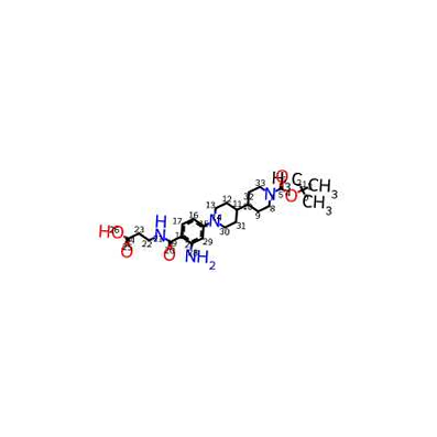 CC(C)(C)OC(=O)N1CCC(C2CCN(c3ccc(C(=O)NCCC(=O)O)c(N)c3)CC2)CC1